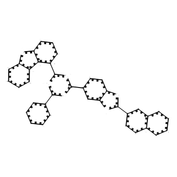 c1ccc(-c2nc(-c3ccc4nc(-c5ccc6ccccc6c5)oc4c3)nc(-c3cccc4oc5ccccc5c34)n2)cc1